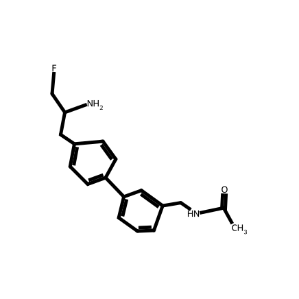 CC(=O)NCc1cccc(-c2ccc(CC(N)CF)cc2)c1